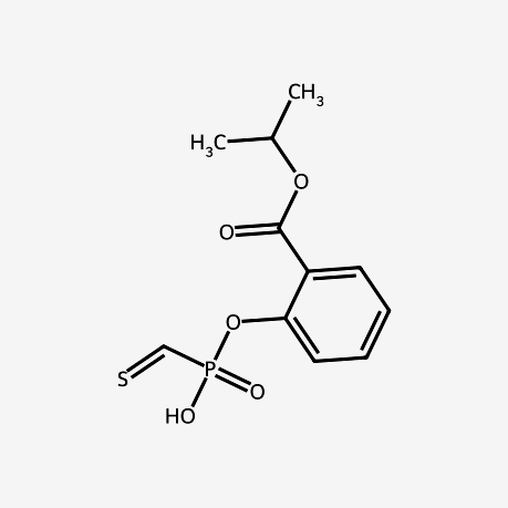 CC(C)OC(=O)c1ccccc1OP(=O)(O)C=S